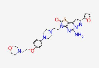 Nc1nc2c(sc(=O)n2CCN2CCN(c3ccc(OCCN4CCOCC4)cc3)CC2)c2cc(-c3ccco3)nn12